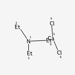 CCN(CC)CC.[Cl][Ca][Cl]